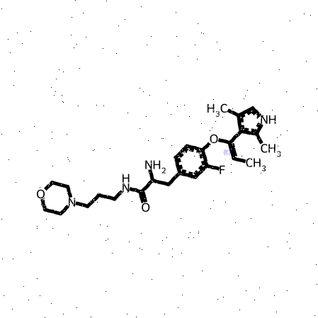 C/C=C(/Oc1ccc(CC(N)C(=O)NCCCN2CCOCC2)cc1F)c1c(C)c[nH]c1C